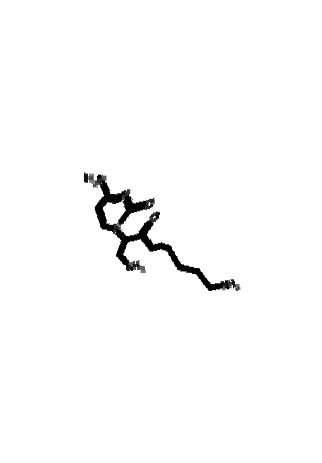 NCCCCCC(=O)C(CN)n1ccc(N)nc1=O